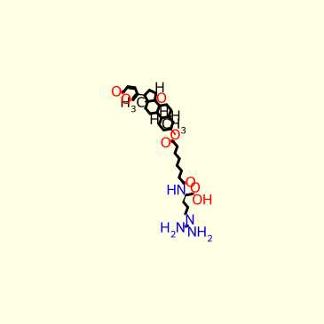 C[C@]12CC[C@H](OC(=O)CCCCCCC(=O)N[C@H](CCCN=C(N)N)C(=O)O)C[C@H]1CC[C@@H]1[C@@H]2CC[C@]2(C)[C@@H](c3ccc(=O)oc3)C[C@H]3O[C@]132